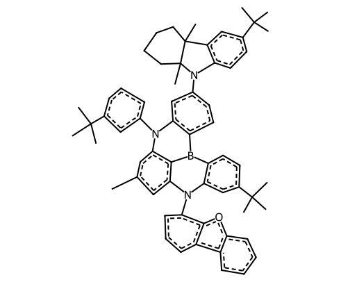 Cc1cc2c3c(c1)N(c1cccc4c1oc1ccccc14)c1cc(C(C)(C)C)ccc1B3c1ccc(N3c4ccc(C(C)(C)C)cc4C4(C)CCCCC34C)cc1N2c1cccc(C(C)(C)C)c1